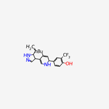 C=CC1NN=CC1C1=CNC(c2ccc(O)c(C(F)(F)F)c2)C=C1CCCC